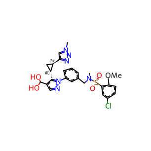 COc1ccc(Cl)cc1S(=O)(=O)N(C)Cc1cccc(-n2ncc(C(O)O)c2[C@@H]2C[C@H]2c2cn(C)nn2)c1